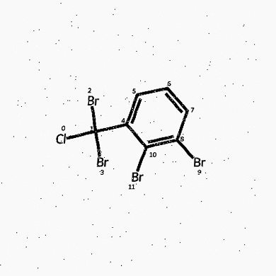 ClC(Br)(Br)c1cccc(Br)c1Br